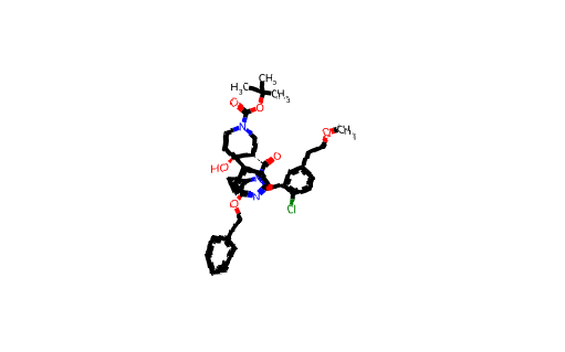 COCCc1ccc(Cl)c(CN(C(=O)[C@H]2CN(C(=O)OC(C)(C)C)CC[C@@]2(O)c2ccnc(OCc3ccccc3)c2)C2CC2)c1